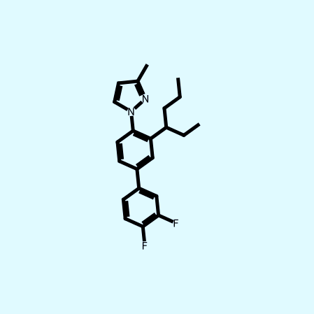 CCCC(CC)c1cc(-c2ccc(F)c(F)c2)ccc1-n1ccc(C)n1